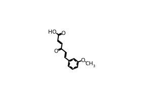 COc1cccc(C=CC(=O)C=CC(=O)O)c1